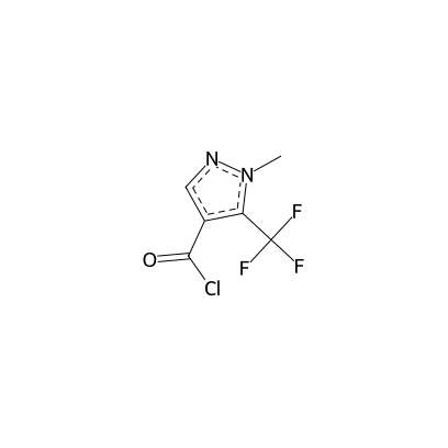 Cn1ncc(C(=O)Cl)c1C(F)(F)F